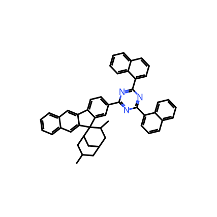 CC1CC2CC(C)C3(c4cc(-c5nc(-c6cccc7ccccc67)nc(-c6cccc7ccccc67)n5)ccc4-c4cc5ccccc5cc43)C(C1)C2